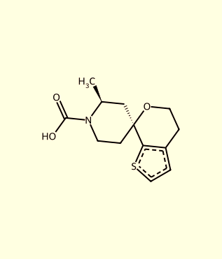 C[C@H]1C[C@]2(CCN1C(=O)O)OCCc1ccsc12